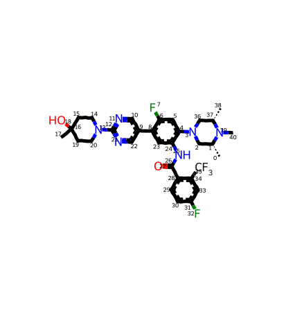 C[C@@H]1CN(c2cc(F)c(-c3cnc(N4CCC(C)(O)CC4)nc3)cc2NC(=O)c2ccc(F)cc2C(F)(F)F)C[C@H](C)N1C